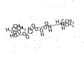 CC(C)(C)NCCCCCNC(=O)OCC(O)COC(=O)c1ccc(C(=O)OCC(CO)OC(=O)C(C)(C)C)cn1